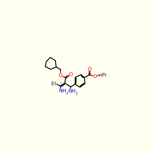 CCCOC(=O)c1ccc(C(N)/C(C(=O)OCC2CCCCC2)=C(\N)CC)cc1